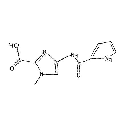 Cn1cc(NC(=O)c2ccc[nH]2)nc1C(=O)O